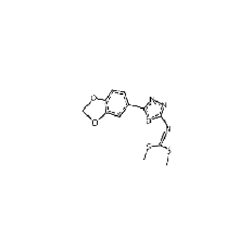 CSC(=Nc1nnc(-c2ccc3c(c2)OCO3)o1)SC